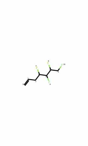 C=CCC(F)C(F)C(F)CF